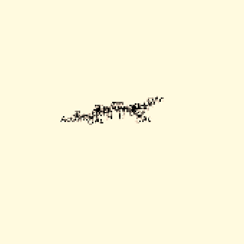 CC(=O)O[C@@H](COCC[C@@H](C)OC(C)=O)COP(=O)(O)OCCNC(=O)CC(=O)NCCOP(=O)(O)OC[C@H](COCC[C@@H](C)OC(C)=O)OC(C)=O